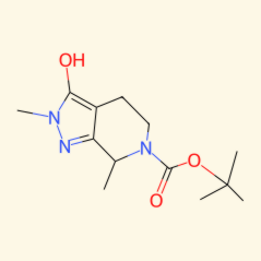 CC1c2nn(C)c(O)c2CCN1C(=O)OC(C)(C)C